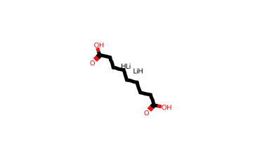 O=C(O)CCCCCCCC(=O)O.[LiH].[LiH]